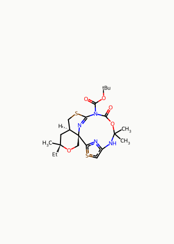 CC[C@@]1(C)C[C@H]2CSC3=N[C@]2(CO1)c1nc(cs1)NC(C)(C)OC(=O)N3C(=O)OC(C)(C)C